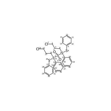 O=S(=O)(S(CCCCl)(Sc1ccccc1)c1ccccc1)S(CCCCl)(Sc1ccccc1)c1ccccc1